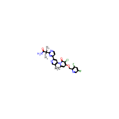 Cc1cnc(-c2ccnc(C(C)(C)C(N)=O)n2)cc1-n1c(C)cc(OCc2ncc(F)cc2F)c(Cl)c1=O